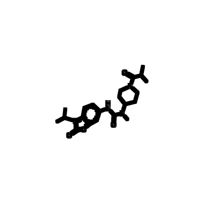 CC(C)C(=O)N1CCC(N(C)C(=O)Nc2ccc3c(c2)oc(=O)n3C(C)C)CC1